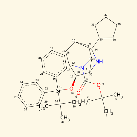 CC(C)(C)OC(=O)N1C2CC3CC1[C@H](O[Si](c1ccccc1)(c1ccccc1)C(C)(C)C)C2NC3C1CCCC1